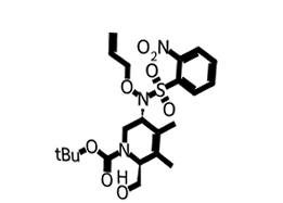 C=CCON([C@H]1CN(C(=O)OC(C)(C)C)[C@H](CO)C(C)=C1C)S(=O)(=O)c1ccccc1[N+](=O)[O-]